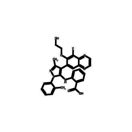 Cc1ccccc1-n1nc(C)c(-c2cc3nccnc3c(F)c2OCCO)c1Nc1ccccc1C(=O)O